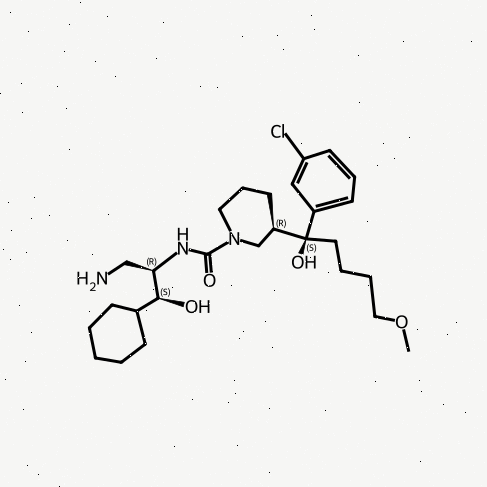 COCCCC[C@@](O)(c1cccc(Cl)c1)[C@@H]1CCCN(C(=O)N[C@H](CN)[C@@H](O)C2CCCCC2)C1